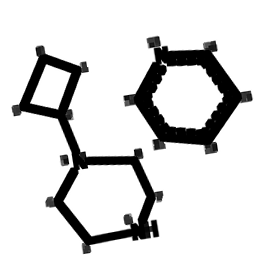 C1CC(N2CCNCC2)C1.c1ccncc1